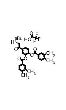 Cc1ccc(C(=O)Oc2ccc(C(=O)CNC(C)(C)C)cc2OC(=O)c2ccc(C)c(C)c2)cc1C.O=C(O)C(F)(F)F